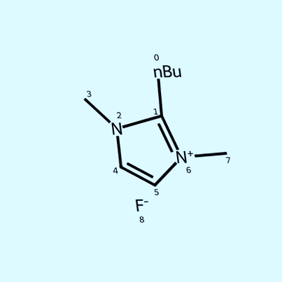 CCCCc1n(C)cc[n+]1C.[F-]